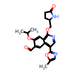 Cc1cnc(-c2cnc(OCC3CCC(=O)N3)c3cc(OC(C)C)c(C=O)cc23)o1